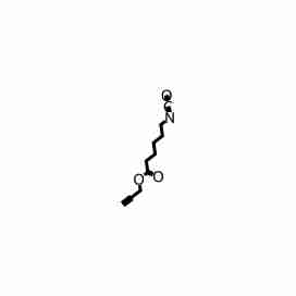 C#CCOC(=O)CCCCCN=C=O